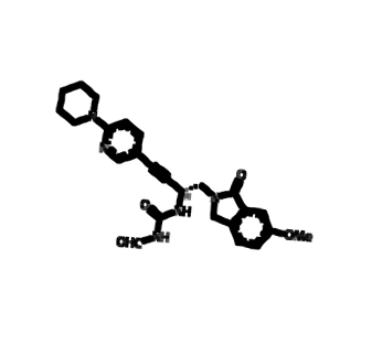 COc1ccc2c(c1)C(=O)N(C[C@@H](C#Cc1ccc(N3CCCCC3)nc1)NC(=O)NC=O)C2